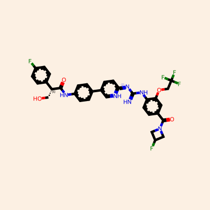 N=C(/N=c1/ccc(-c2ccc(NC(=O)[C@H](CO)c3ccc(F)cc3)cc2)c[nH]1)Nc1ccc(C(=O)N2CC(F)C2)cc1OCC(F)(F)F